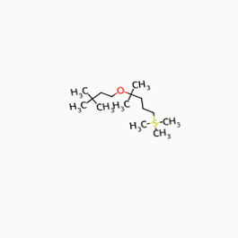 CC(C)(C)CCOC(C)(C)CCCS(C)(C)C